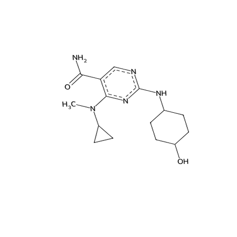 CN(c1nc(NC2CCC(O)CC2)ncc1C(N)=O)C1CC1